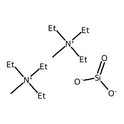 CC[N+](C)(CC)CC.CC[N+](C)(CC)CC.O=[Si]([O-])[O-]